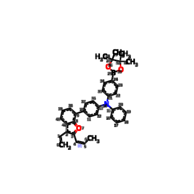 C=Cc1c(/C=C\C)oc2c(-c3ccc(N(c4ccccc4)c4ccc(B5OC(C)(C)C(C)(C)O5)cc4)cc3)cccc12